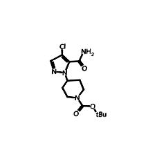 CC(C)(C)OC(=O)N1CCC(n2ncc(Cl)c2C(N)=O)CC1